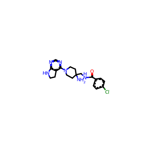 NC1(CNC(=O)c2ccc(Cl)cc2)CCN(c2ncnc3c2CCN3)CC1